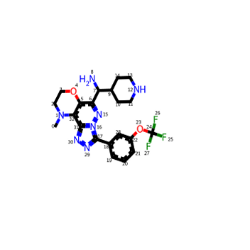 CN1CCOc2c(C(N)C3CCNCC3)nn3c(-c4cccc(OC(F)(F)F)c4)nnc3c21